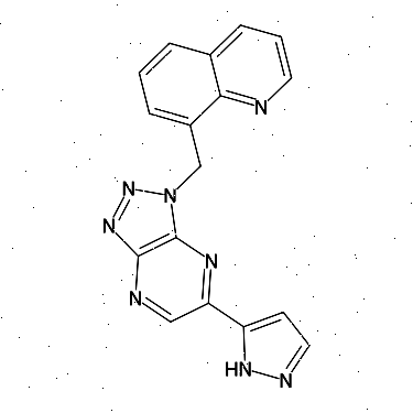 c1cnc2c(Cn3nnc4ncc(-c5ccn[nH]5)nc43)cccc2c1